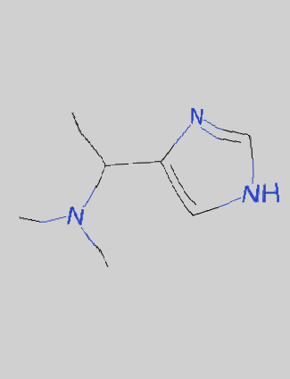 CC(c1c[nH]cn1)N(C)C